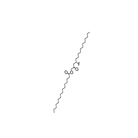 CCCCCCCCCCCCCCCC(=O)OCC(=O)CC(F)CCCCCCCCCCCC